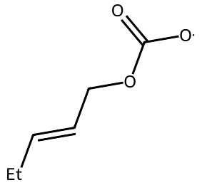 CCC=CCOC([O])=O